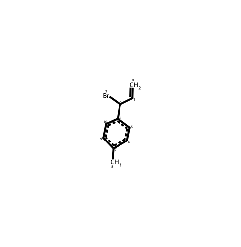 C=CC(Br)c1ccc(C)cc1